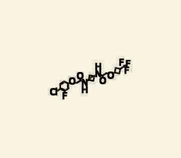 O=C(COc1ccc(Cl)c(F)c1)NC12CC(NC(=O)COC3CC(C(F)(F)F)C3)(C1)C2